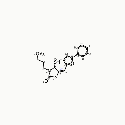 CC(=O)OCCCN1C(=O)S/C(=C/c2ccc(-c3ccccc3)o2)C1S